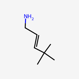 CC(C)(C)C=CCN